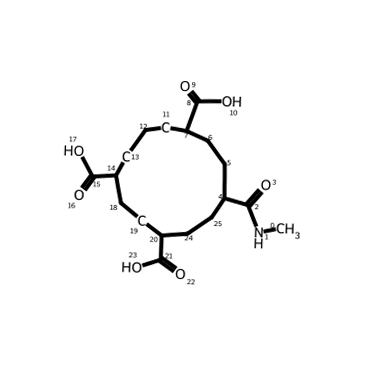 CNC(=O)C1CCC(C(=O)O)CCCC(C(=O)O)CCC(C(=O)O)CC1